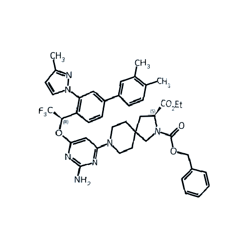 CCOC(=O)[C@@H]1CC2(CCN(c3cc(O[C@H](c4ccc(-c5ccc(C)c(C)c5)cc4-n4ccc(C)n4)C(F)(F)F)nc(N)n3)CC2)CN1C(=O)OCc1ccccc1